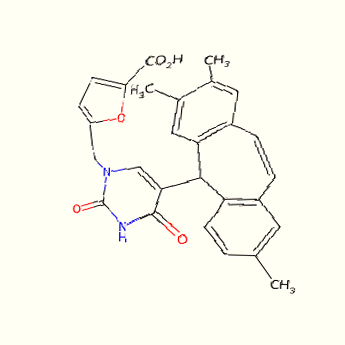 Cc1ccc2c(c1)C=Cc1cc(C)c(C)cc1C2c1cn(Cc2ccc(C(=O)O)o2)c(=O)[nH]c1=O